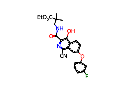 CCOC(=O)C(C)(C)CNC(=O)c1nc(C#N)c2cc(Oc3cccc(F)c3)ccc2c1O